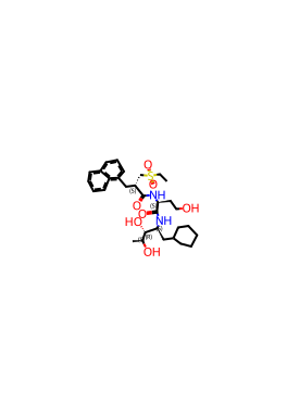 CCS(=O)(=O)C[C@@H](Cc1cccc2ccccc12)C(=O)N[C@@H](CCO)C(=O)N[C@@H](CC1CCCCC1)[C@@H](O)[C@H](C)O